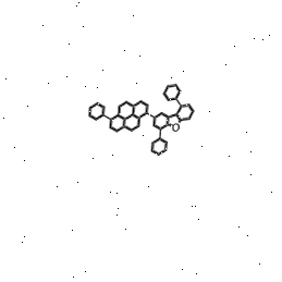 c1ccc(-c2ccc3ccc4c(-c5cc(-c6ccccc6)c6oc7cccc(-c8ccccc8)c7c6c5)ccc5ccc2c3c54)cc1